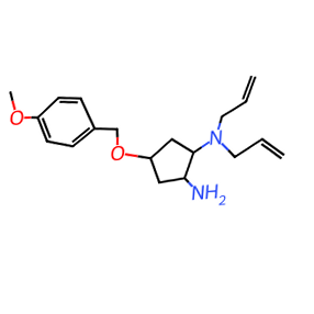 C=CCN(CC=C)C1CC(OCc2ccc(OC)cc2)CC1N